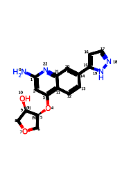 Nc1cc(O[C@H]2COC[C@H]2O)c2ccc(-c3ccn[nH]3)cc2n1